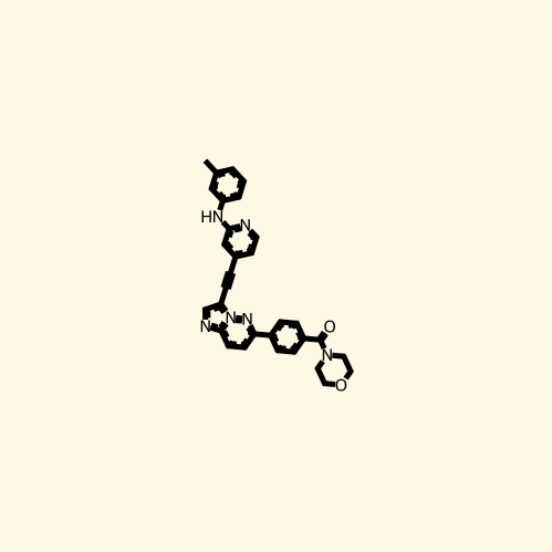 Cc1cccc(Nc2cc(C#Cc3cnc4ccc(-c5ccc(C(=O)N6CCOCC6)cc5)nn34)ccn2)c1